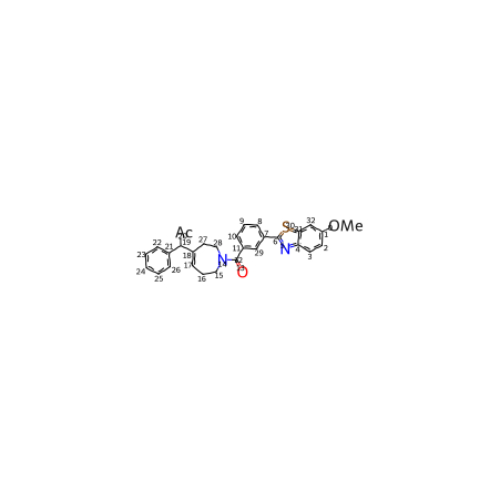 COc1ccc2nc(-c3cccc(C(=O)N4CCC=C(C(C(C)=O)c5ccccc5)CC4)c3)sc2c1